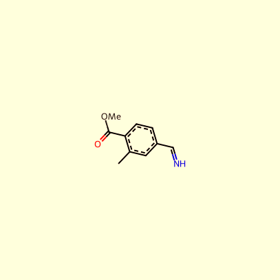 COC(=O)c1ccc(C=N)cc1C